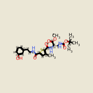 COC(=O)[C@H](CNC(=O)OC(C)(C)C)NC(=O)c1sc(C(=O)NCCc2cccc(O)c2)cc1C